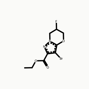 CCOC(=O)c1nn2c(c1Br)OCC(F)C2